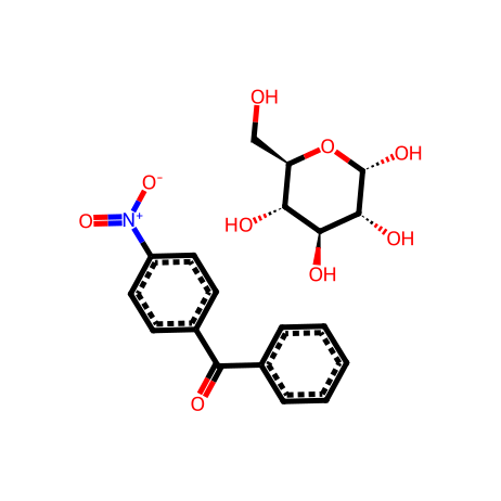 O=C(c1ccccc1)c1ccc([N+](=O)[O-])cc1.OC[C@H]1O[C@H](O)[C@H](O)[C@@H](O)[C@@H]1O